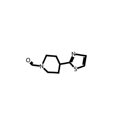 O=CN1CCC(c2nccs2)CC1